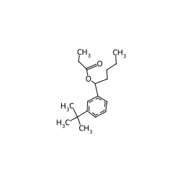 CCCCC(OC(=O)CC)c1cccc(C(C)(C)C)c1